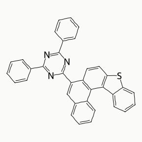 c1ccc(-c2nc(-c3ccccc3)nc(-c3cc4ccccc4c4c3ccc3sc5ccccc5c34)n2)cc1